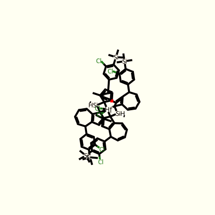 CC1=CC2=C(C=CC=CC2c2ccc([Si](C)(C)C)c(Cl)c2)[C]12[SiH](C)[C]1(C(C)=CC3=C1C=CC=CC3c1ccc([Si](C)(C)C)c(Cl)c1)[Hf]21([Cl])([Cl])[C]2(C(C)=CC3=C2C=CC=CC3c2ccc([Si](C)(C)C)c(Cl)c2)[SiH](C)[C]12C(C)=CC1=C2C=CC=CC1c1ccc([Si](C)(C)C)c(Cl)c1